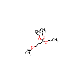 CC=COCCC[Si](OCCC)(OCCC)OCCC